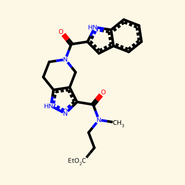 CCOC(=O)CCN(C)C(=O)c1n[nH]c2c1CN(C(=O)c1cc3ccccc3[nH]1)CC2